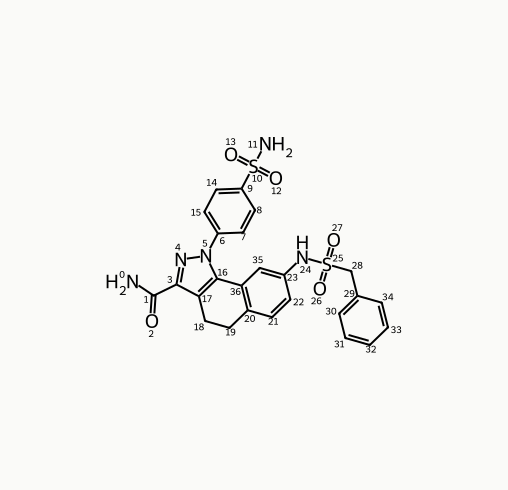 NC(=O)c1nn(-c2ccc(S(N)(=O)=O)cc2)c2c1CCc1ccc(NS(=O)(=O)Cc3ccccc3)cc1-2